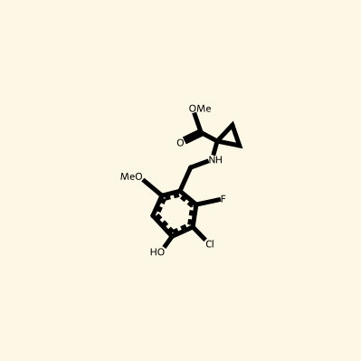 COC(=O)C1(NCc2c(OC)cc(O)c(Cl)c2F)CC1